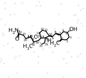 C=C1CC[C@H](O)C/C1=C/C=C1\CCC[C@]2(C)[C@@H]([C@H](C)CCCC(N)=O)CC[C@@H]12